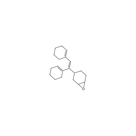 C1=C(C=C(C2=CCCCC2)C2CCC3OC3C2)CCCC1